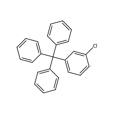 Clc1[c]ccc(C(c2ccccc2)(c2ccccc2)c2ccccc2)c1